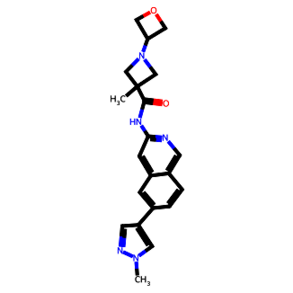 Cn1cc(-c2ccc3cnc(NC(=O)C4(C)CN(C5COC5)C4)cc3c2)cn1